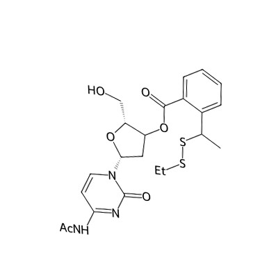 CCSSC(C)c1ccccc1C(=O)OC1C[C@H](n2ccc(NC(C)=O)nc2=O)O[C@@H]1CO